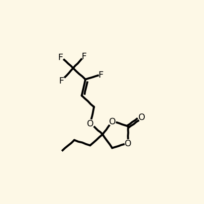 CCCC1(OCC=C(F)C(F)(F)F)COC(=O)O1